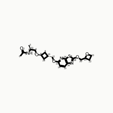 CC(=O)N[C@@H](C)CO[C@H]1C[C@H](COc2ccc3nc(OCC4CCO4)sc3n2)C1